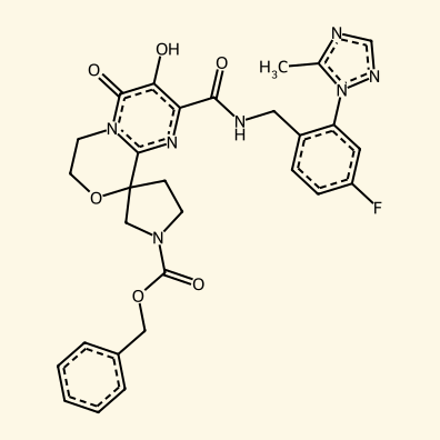 Cc1ncnn1-c1cc(F)ccc1CNC(=O)c1nc2n(c(=O)c1O)CCOC21CCN(C(=O)OCc2ccccc2)C1